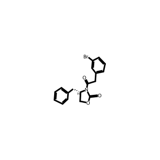 O=C(Cc1cccc(Br)c1)N1C(=O)OC[C@@H]1Cc1ccccc1